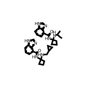 CC(C)NC1(NC(=O)c2cccc3[nH]cnc23)CCC1.O=C(NC1(NCC2CC2)CCC1)c1cccc2[nH]cnc12